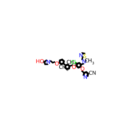 Cc1c(COc2cc(OCc3cncc(C#N)c3)c(CN(C)Cc3nccs3)cc2Cl)cccc1-c1cccc(OCCCN2CC[C@@H](O)C2)c1C